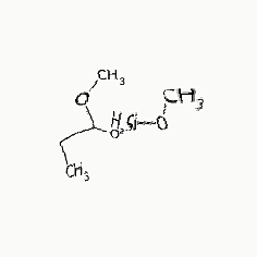 CCC(OC)O[SiH2]OC